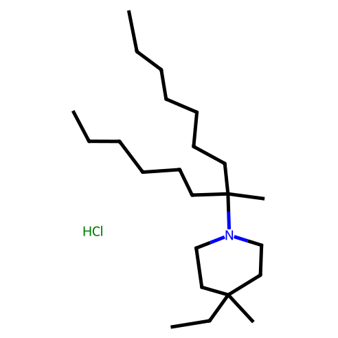 CCCCCCCC(C)(CCCCCC)N1CCC(C)(CC)CC1.Cl